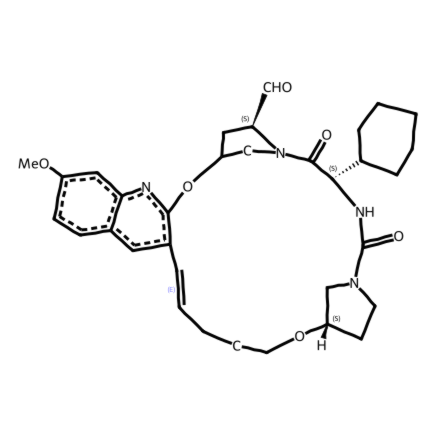 COc1ccc2cc3c(nc2c1)OC1C[C@@H](C=O)N(C1)C(=O)[C@H](C1CCCCC1)NC(=O)N1CC[C@@H](C1)OCCC/C=C/3